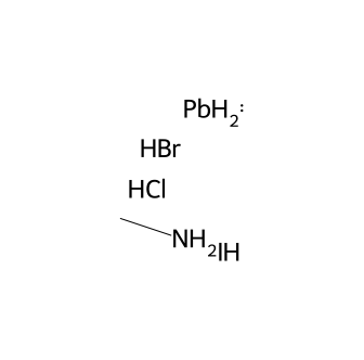 Br.CN.Cl.I.[PbH2]